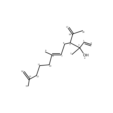 C=CC(C)(O)C(C/C=C(\C)CCCC(=C)C)C(=C)C